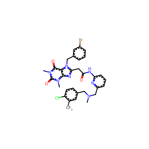 CN(Cc1ccc(Cl)c(C(F)(F)F)c1)Cc1cccc(NC(=O)Cc2nc3c(c(=O)n(C)c(=O)n3C)n2Cc2cccc(Br)c2)n1